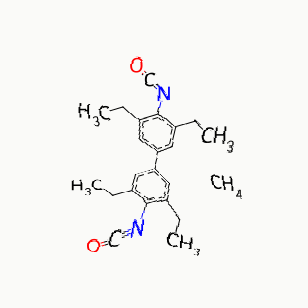 C.CCc1cc(-c2cc(CC)c(N=C=O)c(CC)c2)cc(CC)c1N=C=O